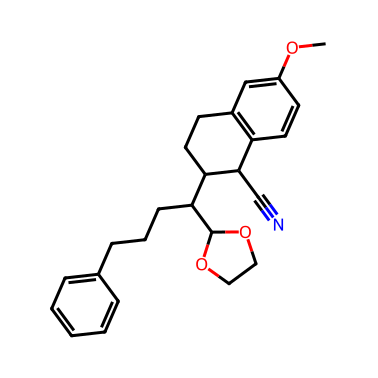 COc1ccc2c(c1)CCC(C(CCCc1ccccc1)C1OCCO1)C2C#N